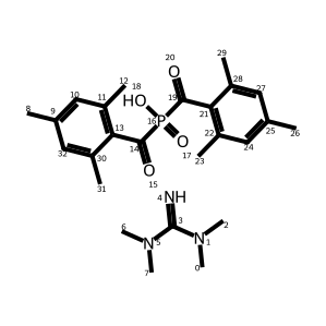 CN(C)C(=N)N(C)C.Cc1cc(C)c(C(=O)P(=O)(O)C(=O)c2c(C)cc(C)cc2C)c(C)c1